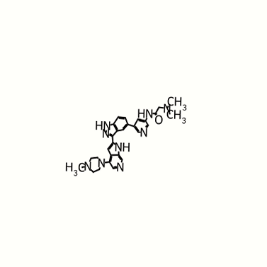 CN(C)CC(=O)Nc1cncc(-c2ccc3[nH]nc(-c4cc5c(N6CCN(C)CC6)cncc5[nH]4)c3c2)c1